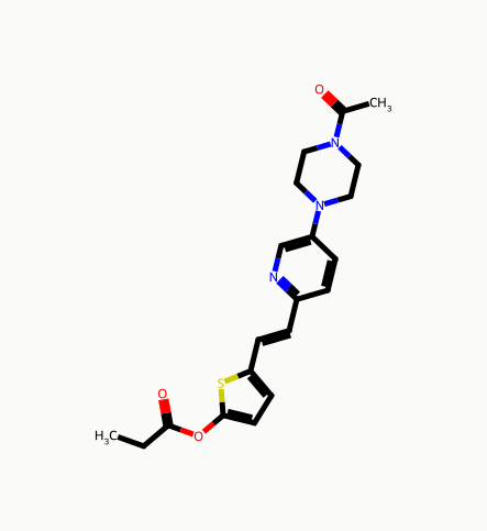 CCC(=O)Oc1ccc(C=Cc2ccc(N3CCN(C(C)=O)CC3)cn2)s1